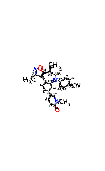 Cc1noc2c1-c1ccc(-c3ccc(=O)n(C)c3)cc1N(c1ccc(C#N)cc1)CC2C